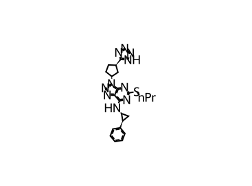 CCCSc1nc(N[C@@H]2C[C@H]2c2ccccc2)c2nnn([C@@H]3CC[C@@H](c4nnn[nH]4)C3)c2n1